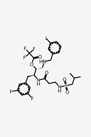 CC(C)CS(=O)(=O)NCCC(=O)N[C@@H](Cc1cc(F)cc(F)c1)[C@@H](CNCc1cccc(I)c1)OC(=O)C(F)(F)F